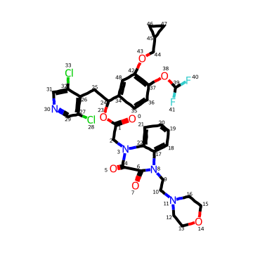 O=C(Cn1c(=O)c(=O)n(CCN2CCOCC2)c2ccccc21)OC(Cc1c(Cl)cncc1Cl)c1ccc(OC(F)F)c(OCC2CC2)c1